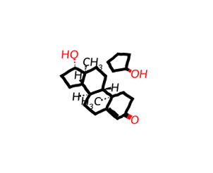 C[C@]12CC[C@H]3[C@@H](CCC4=CC(=O)CC[C@@]43C)[C@@H]1CC[C@@H]2O.OC1CCCC1